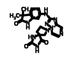 CC1(C)C(=O)Nc2cc(NC3=N[N+]4(N5CCC6(C5)NC(=O)NC6=O)C=CN=CC4=N3)ccc21